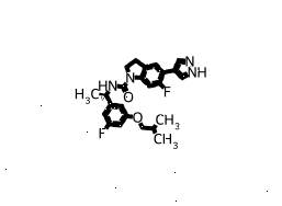 CC(C)COc1cc(F)cc([C@@H](C)NC(=O)N2CCc3cc(-c4cn[nH]c4)c(F)cc32)c1